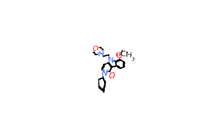 COc1cccc2c3c(=O)n(C4CCCC4)ccc3n(CCN3CCOCC3)c12